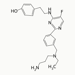 CCN(CCCN)Cc1cccc(-c2ncc(F)c(NCCc3ccc(O)cc3)n2)c1